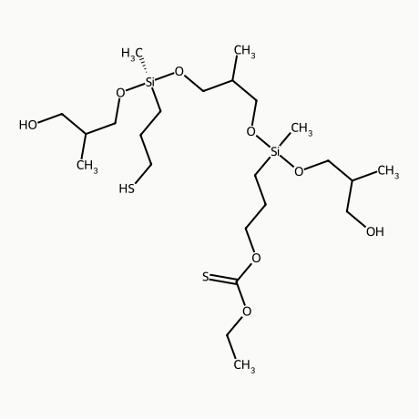 CCOC(=S)OCCC[Si](C)(OCC(C)CO)OCC(C)CO[Si@@](C)(CCCS)OCC(C)CO